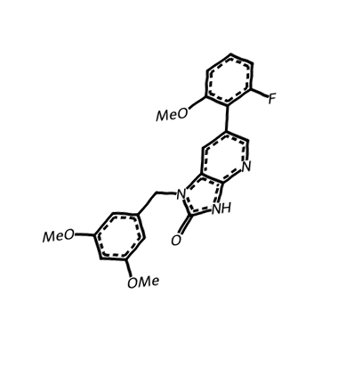 COc1cc(Cn2c(=O)[nH]c3ncc(-c4c(F)cccc4OC)cc32)cc(OC)c1